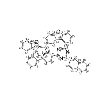 c1ccc(-c2ccc(-c3nc(-c4ccc5ccccc5c4)nc(-c4cccc5oc6ccc(-c7cccc8c7oc7ccccc78)cc6c45)n3)cc2)cc1